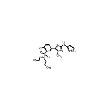 Cc1nc(Nc2cc[nH]n2)sc1-c1ccc(Cl)c(S(=O)(=O)N(CCO)CCO)c1